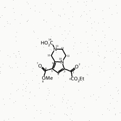 CCOC(=O)C(=O)c1cc(C(=O)OC)c2n1CCN(C(=O)O)C2